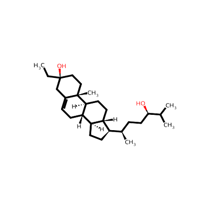 CC[C@]1(O)CC[C@@]2(C)C(=CC[C@H]3[C@@H]4CC[C@H]([C@H](C)CC[C@@H](O)C(C)C)[C@H]4CC[C@@H]32)C1